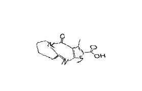 Cc1c(C(=O)O)sc2nc3n(c(=O)c12)CCCC3